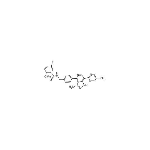 COc1ccc(F)cc1C(=O)NCc1ccc(-c2ncc(-c3ncc(C)cn3)c3[nH]nc(N)c23)cc1